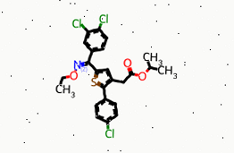 CCO/N=C(/c1ccc(Cl)c(Cl)c1)c1cc(CC(=O)OC(C)C)c(-c2ccc(Cl)cc2)s1